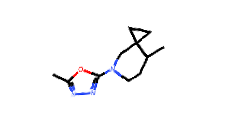 Cc1nnc(N2CCC(C)C3(CC3)C2)o1